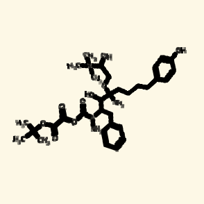 CC(C)(C)OC(=O)C(=O)OC(=O)N(N)C(Cc1ccccc1)C(O)C(N)(CCCCc1ccc(O)cc1)OCC(O)[Si](C)(C)C